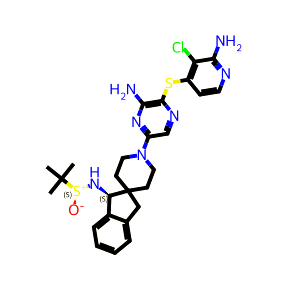 CC(C)(C)[S@@+]([O-])N[C@@H]1c2ccccc2CC12CCN(c1cnc(Sc3ccnc(N)c3Cl)c(N)n1)CC2